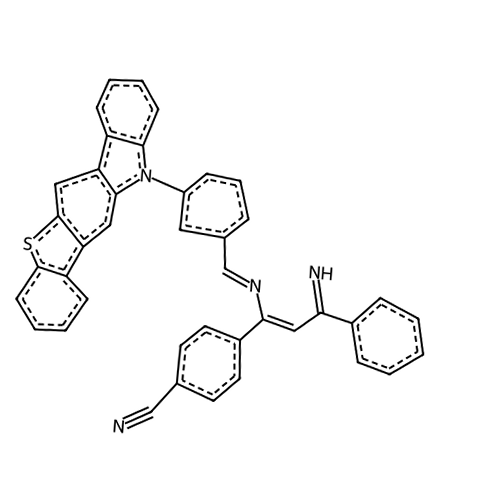 N#Cc1ccc(C(=C/C(=N)c2ccccc2)/N=C/c2cccc(-n3c4ccccc4c4cc5sc6ccccc6c5cc43)c2)cc1